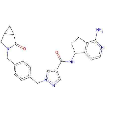 Nc1nccc2c1CCC2NC(=O)c1cnn(Cc2ccc(CN3CC4CC4C3=O)cc2)c1